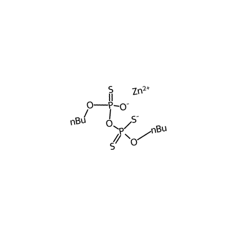 CCCCOP([O-])(=S)OP(=S)([S-])OCCCC.[Zn+2]